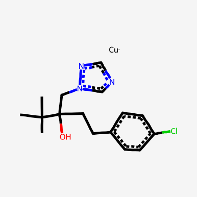 CC(C)(C)C(O)(CCc1ccc(Cl)cc1)Cn1cncn1.[Cu]